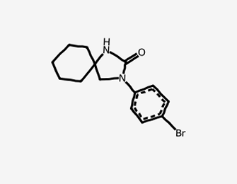 O=C1NC2(CCCCC2)CN1c1ccc(Br)cc1